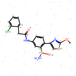 COc1nc(-c2ccc(NC(=O)Cc3ccccc3Cl)cc2[S+](N)[O-])cs1